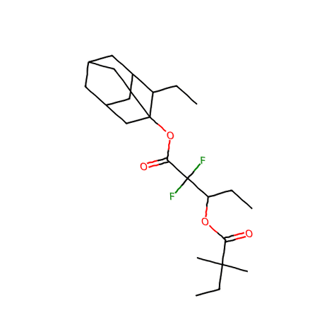 CCC1C2CC3CC(C2)CC1(OC(=O)C(F)(F)C(CC)OC(=O)C(C)(C)CC)C3